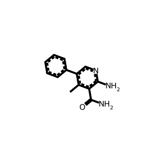 Cc1c(-c2ccccc2)cnc(N)c1C(N)=O